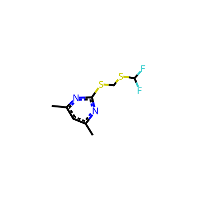 Cc1cc(C)nc(SCSC(F)F)n1